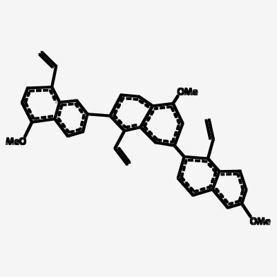 C=Cc1c(-c2cc(OC)c3ccc(-c4ccc5c(OC)ccc(C=C)c5c4)c(C=C)c3c2)ccc2cc(OC)ccc12